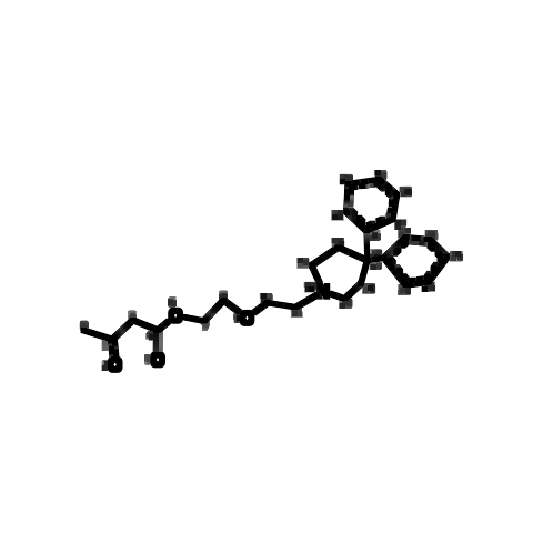 CC(=O)CC(=O)OCCOCCN1CCC(c2ccccc2)(c2ccccc2)CC1